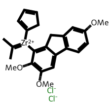 COc1ccc2c(c1)Cc1c-2cc(OC)c(OC)[c]1[Zr+2]([C]1=CC=CC1)=[C](C)C.[Cl-].[Cl-]